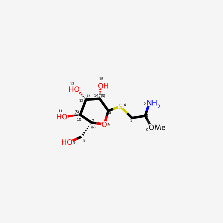 COC(N)CSC1O[C@H](CO)[C@@H](O)[C@H](O)[C@@H]1O